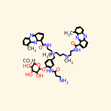 Cc1cccc2nc3cccc(C(=O)NCCN(C)CCC[N+](C)(CCNC(=O)c4cccc5nc6cccc(C)c6nc45)Cc4ccc(O[C@@H]5O[C@H](C(=O)O)[C@@H](O)[C@@H](O)[C@@H]5O)c(NC(=O)CCN)c4)c3nc12